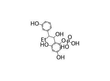 CCC(c1cccc(O)c1)C(O)c1c(O)cc(O)cc1OP(=O)(O)O